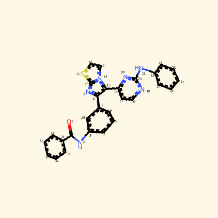 O=C(Nc1cccc(-c2nc3sccn3c2-c2ccnc(Nc3ccccc3)n2)c1)c1ccccc1